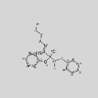 CCCCN=C(S)C(Cl)(Oc1ccccc1)C(C)Cc1ccccc1